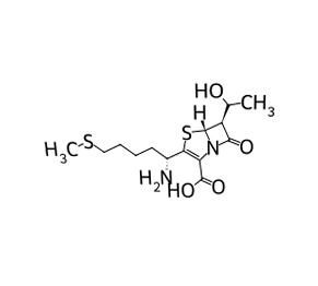 CSCCCC[C@@H](N)C1=C(C(=O)O)N2C(=O)[C@H](C(C)O)[C@H]2S1